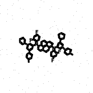 Cc1ccc(-c2cc(-c3ccccc3)cc(N(c3ccc(F)cc3F)c3ccc4ccc5c(N(c6cc(-c7ccccc7)cc(-c7ccc(C)cc7)c6)c6ccc(F)cc6F)ccc6ccc3c4c65)c2)cc1